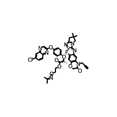 C#CCN1C(=O)COc2cc(F)c(/N=c3\snc4n3CC(C)(C)C4)cc21.CC(C)=NOCCOC(=O)[C@@H](C)Oc1ccc(Oc2cnc3cc(Cl)ccc3n2)cc1